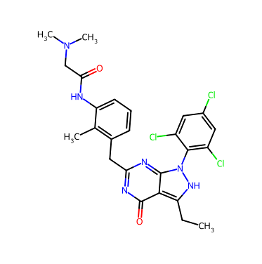 CCc1[nH]n(-c2c(Cl)cc(Cl)cc2Cl)c2nc(Cc3cccc(NC(=O)CN(C)C)c3C)nc(=O)c1-2